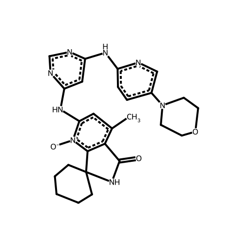 Cc1cc(Nc2cc(Nc3ccc(N4CCOCC4)cn3)ncn2)[n+]([O-])c2c1C(=O)NC21CCCCC1